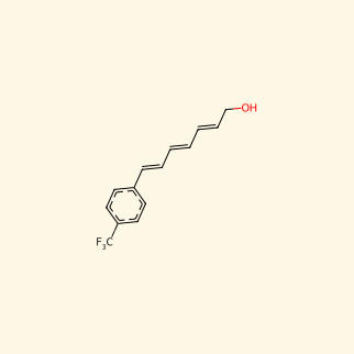 OC/C=C/C=C/C=C/c1ccc(C(F)(F)F)cc1